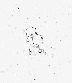 CC[C@H]1[C@@H](C)C=CC2=CCCC[C@@H]21